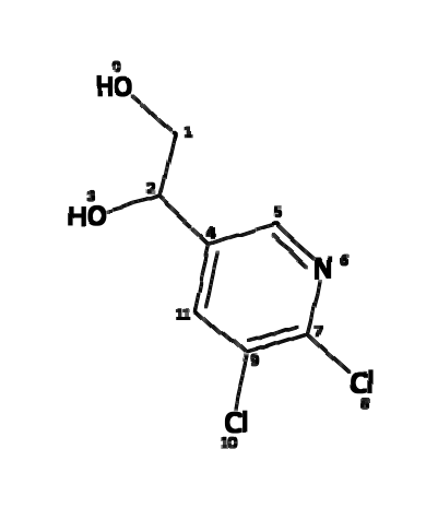 OCC(O)c1cnc(Cl)c(Cl)c1